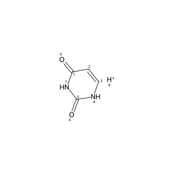 O=c1cc[nH]c(=O)[nH]1.[H+]